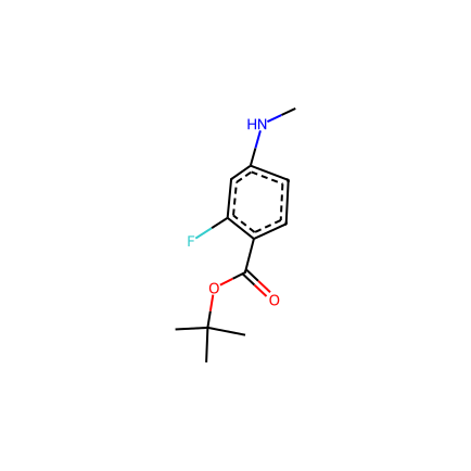 CNc1ccc(C(=O)OC(C)(C)C)c(F)c1